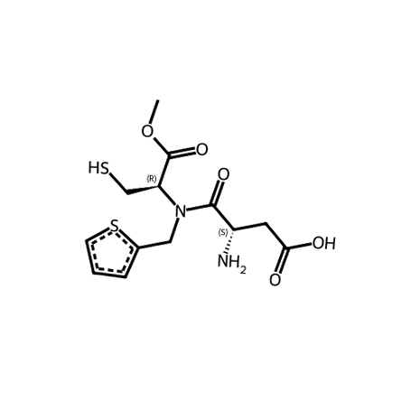 COC(=O)[C@H](CS)N(Cc1cccs1)C(=O)[C@@H](N)CC(=O)O